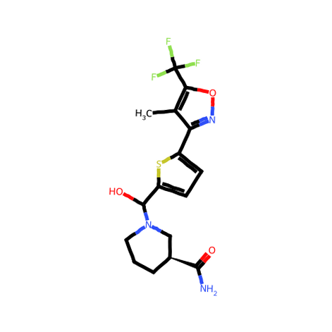 Cc1c(-c2ccc(C(O)N3CCC[C@H](C(N)=O)C3)s2)noc1C(F)(F)F